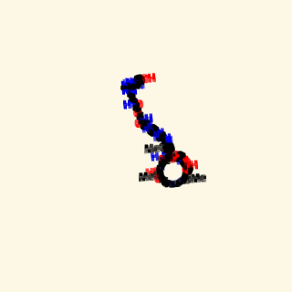 CO[C@H]1C[C@@H]2CC[C@@H](C)[C@@](O)(O2)C(=O)C(=O)N2CCCC[C@H]2C(=O)O[C@H]([C@H](N)C[C@@H]2CC[C@H](n3cc(-c4cnc(N5CCN(c6ncc(C(=O)NCCOCCC(=O)NCCCCn7nc(-c8cc9cc(O)ccc9[nH]8)c8c(N)ncnc87)cn6)CC5)nc4)nn3)[C@H](OC)C2)CC(=O)[C@H](C)/C=C(\C)[C@@H](O)[C@@H](OC)C(=O)[C@H](C)C[C@H](C)/C=C/C=C/C=C/1C